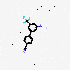 N#Cc1ccc(-c2cc(N)cc(C(F)(F)F)c2)cc1